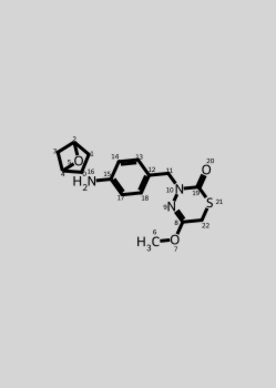 C1CC2CC1O2.COC1=NN(Cc2ccc(N)cc2)C(=O)SC1